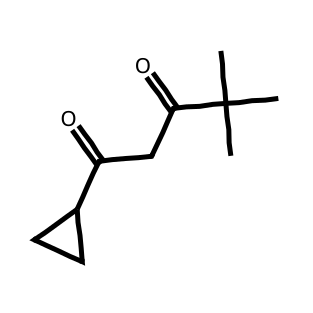 CC(C)(C)C(=O)CC(=O)C1CC1